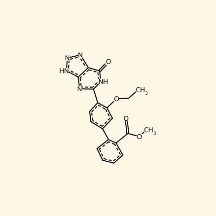 CCOc1cc(-c2ccccc2C(=O)OC)ccc1-c1nc2[nH]nnc2c(=O)[nH]1